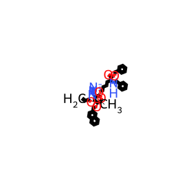 C=CCO[C@@H]1[C@@H](N=[N+]=[N-])[C@H](OCCCCC(NCc2ccccc2)C(=O)OCc2ccccc2)O[C@H](C)[C@H]1OCc1ccc2ccccc2c1